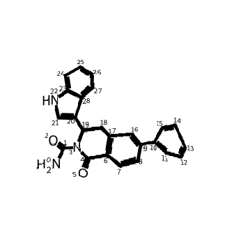 NC(=O)N1C(=O)c2ccc(-c3ccccc3)cc2CC1c1c[nH]c2ccccc12